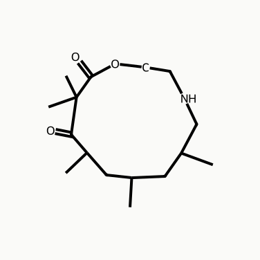 CC1CNCCOC(=O)C(C)(C)C(=O)C(C)CC(C)C1